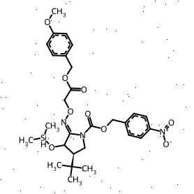 COc1ccc(COC(=O)CO/N=C2/C(O[SiH](C)C)[C@H](C(C)(C)C)CN2C(=O)OCc2ccc([N+](=O)[O-])cc2)cc1